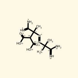 CC(C)(N=NC(C)(C(=N)N)C(C(=O)O)C(=O)O)C(=N)N